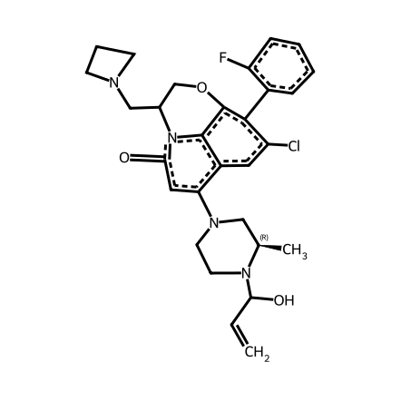 C=CC(O)N1CCN(c2cc(=O)n3c4c(c(-c5ccccc5F)c(Cl)cc24)OCC3CN2CCC2)C[C@H]1C